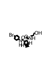 O=C(NCCCO)[C@H]1[C@H](C(=O)Nc2ccc(Br)cc2)[C@@H]2CC[C@H]1C21CC1